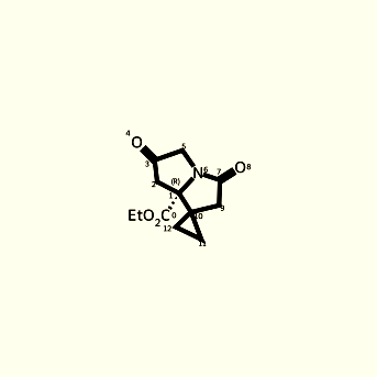 CCOC(=O)[C@]12CC(=O)CN1C(=O)CC21CC1